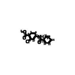 COC(=O)c1ccc(NC(=O)c2cccnc2)cc1Cl